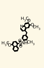 COc1cc2nccc(Cc3ccc(NS(=O)(=O)c4ccc(OC)c5ccccc45)c(C)c3)c2cc1OC